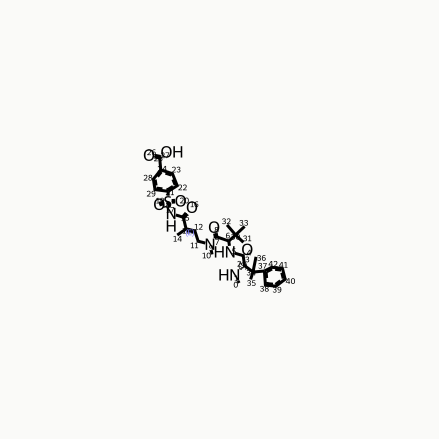 CN[C@H](C(=O)NC(C(=O)N(C)C/C=C(\C)C(=O)NS(=O)(=O)c1ccc(C(=O)O)cc1)C(C)(C)C)C(C)(C)c1ccccc1